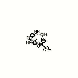 CCOC(=O)CCN(C(=O)Oc1ccc2[nH]c(CN(C)c3ccc(C(=N)N)cc3)nc2c1C)c1cccnc1.Cl